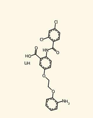 Nc1ccccc1OCCOc1ccc(NC(=O)c2ccc(Cl)cc2Cl)c(C(=O)O)c1.[LiH]